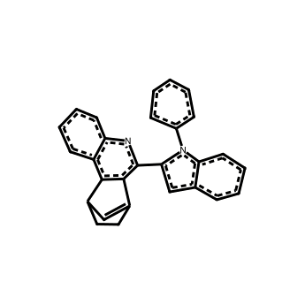 C1=C2CCC1c1c2c(-c2cc3ccccc3n2-c2ccccc2)nc2ccccc12